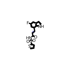 O=C(/C=C/c1cc(F)cc2cc[nH]c12)NS(=O)(=O)c1cccs1